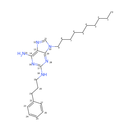 CCCCCCCCCCn1cnc2c(N)nc(NCCCc3ccccc3)nc21